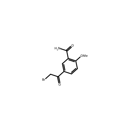 COc1ccc(C(=O)CBr)cc1C(N)=O